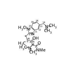 CNC(=O)[C@H]([C@H](O)[C@H](C)Cc1nc2cc(CN(C)C)ccc2n1C)N(C)C